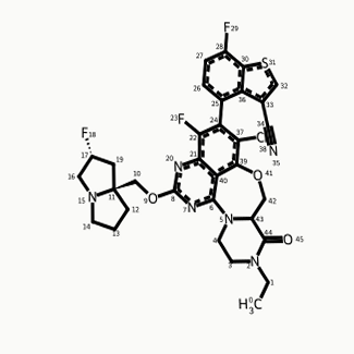 CCN1CCN2c3nc(OC[C@@]45CCCN4C[C@H](F)C5)nc4c(F)c(-c5ccc(F)c6scc(C#N)c56)c(Cl)c(c34)OCC2C1=O